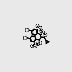 CS(=O)(=O)c1cc(Cl)ccc1C(=O)c1c(-c2ccc(Cl)cc2S(C)(=O)=O)noc1C1CC1